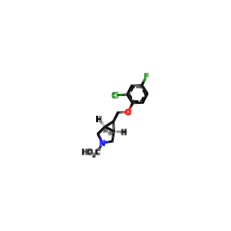 O=C(O)N1C[C@@H]2C(COc3ccc(F)cc3Cl)[C@@H]2C1